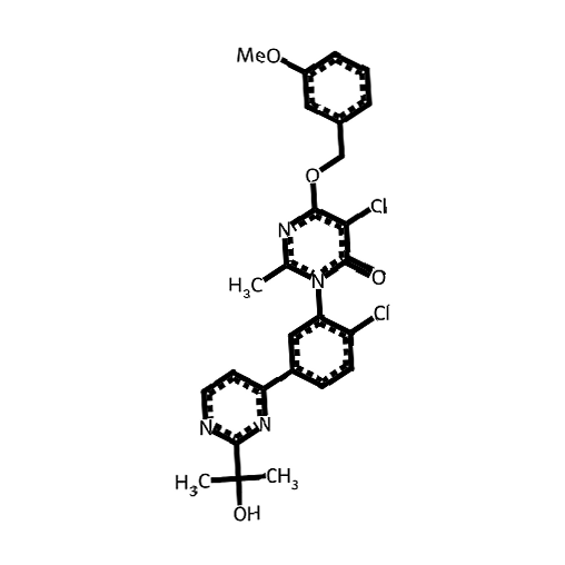 COc1cccc(COc2nc(C)n(-c3cc(-c4ccnc(C(C)(C)O)n4)ccc3Cl)c(=O)c2Cl)c1